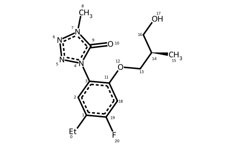 CCc1cc(-n2nnn(C)c2=O)c(OC[C@H](C)CO)cc1F